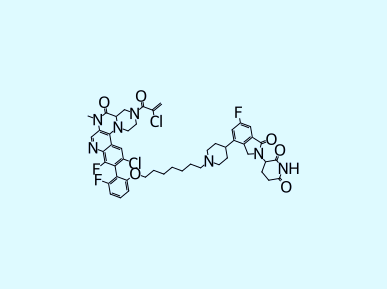 C=C(Cl)C(=O)N1CCN2c3c(cnc4c(F)c(-c5c(F)cccc5OCCCCCCCN5CCC(c6cc(F)cc7c6CN(C6CCC(=O)NC6=O)C7=O)CC5)c(Cl)cc34)N(C)C(=O)C2C1